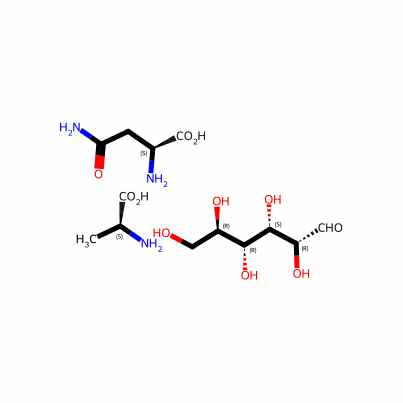 C[C@H](N)C(=O)O.NC(=O)C[C@H](N)C(=O)O.O=C[C@H](O)[C@@H](O)[C@H](O)[C@H](O)CO